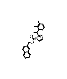 Cc1cccc(C(C)c2nccn2C(=O)OCc2ccc3ccccc3c2)c1C